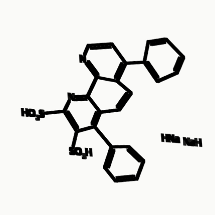 O=S(=O)(O)c1nc2c(ccc3c(-c4ccccc4)ccnc32)c(-c2ccccc2)c1S(=O)(=O)O.[NaH].[NaH]